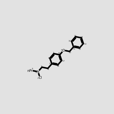 CCCN(Cl)CCc1ccc(OCc2ccccc2)cc1